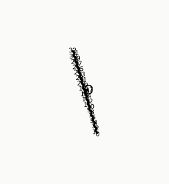 CCCCCCCCCCCCCCCCC(=O)CCCCCCCCCCCCCCC